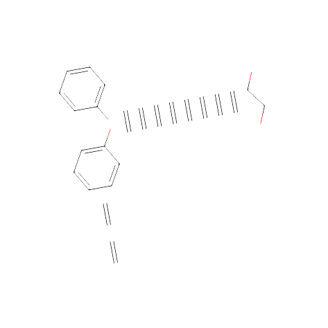 C=C.C=C.C=C.C=C.C=C.C=C.C=C.C=C.C=C.C=C.OCCO.c1ccc(Oc2ccccc2)cc1